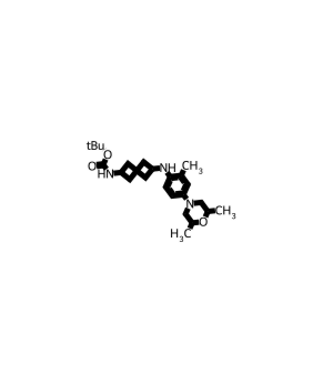 Cc1cc(N2CC(C)OC(C)C2)ccc1NC1CC2(CC(NC(=O)OC(C)(C)C)C2)C1